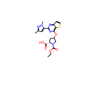 CCOC(=O)N1CC(Oc2nc(-c3cc(C)nn3C)nc3ccsc23)C[C@H]1C(=O)O